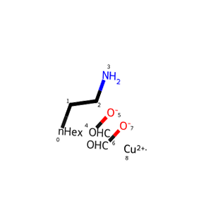 CCCCCCCCN.O=C[O-].O=C[O-].[Cu+2]